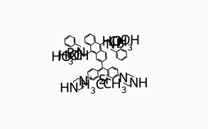 CN(Cc1ccccc1B(O)O)Cc1c2ccccc2c(CN(C)Cc2ccccc2B(O)O)c2cc(C3=C4C=CC(=[N+]5CCNCC5)C=C4[Si](C)(C)c4cc(N5CCNCC5)ccc43)ccc12